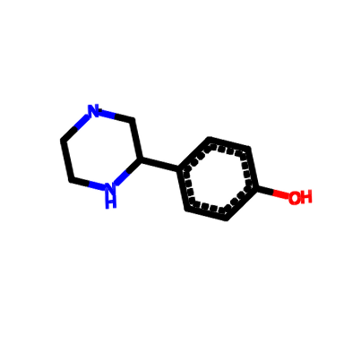 Oc1ccc(C2C[N]CCN2)cc1